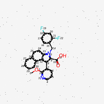 COc1ncccc1-c1c(C(=O)O)n(Cc2ccc(F)cc2F)c2ccc3ccccc3c12